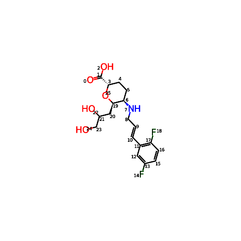 O=C(O)[C@@H]1CC[C@@H](NC/C=C/c2cc(F)ccc2F)[C@@H](CC(O)CO)O1